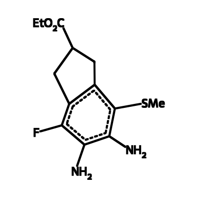 CCOC(=O)C1Cc2c(F)c(N)c(N)c(SC)c2C1